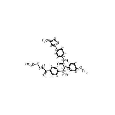 CCC[C@H](c1ccc(C(=O)NCCC(=O)O)cc1)[C@@H](C(=O)Nc1ccc(-n2cc(C(F)(F)F)cn2)cc1)c1ccc(OC(F)(F)F)cc1